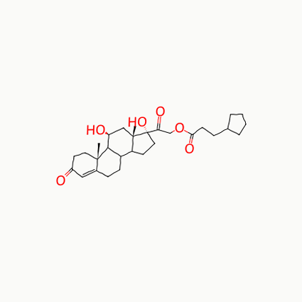 C[C@]12CCC(=O)C=C1CCC1C2[C@@H](O)C[C@@]2(C)C1CC[C@]2(O)C(=O)COC(=O)CCC1CCCC1